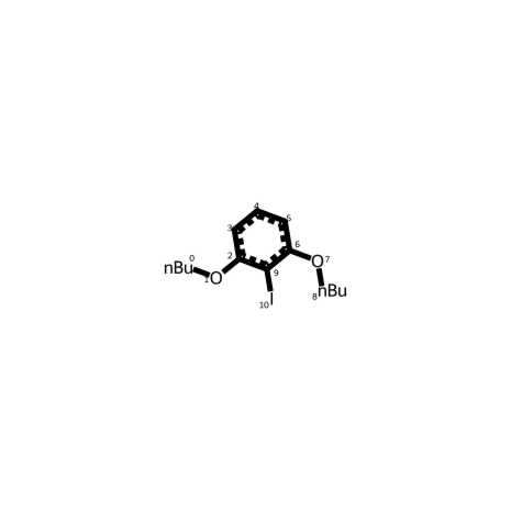 CCCCOc1cccc(OCCCC)c1I